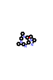 N#Cc1ccc(-n2c3ccccc3c3cccc(C#N)c32)c(-c2cccc(-n3c4ccccc4c4ccc(-n5c6ccccc6c6ccccc65)cc43)c2)c1